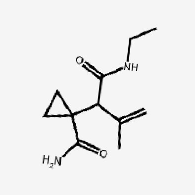 C=C(C)C(C(=O)NCC)C1(C(N)=O)CC1